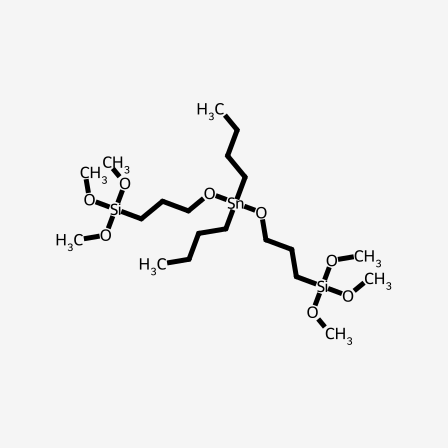 CCC[CH2][Sn]([CH2]CCC)([O]CCC[Si](OC)(OC)OC)[O]CCC[Si](OC)(OC)OC